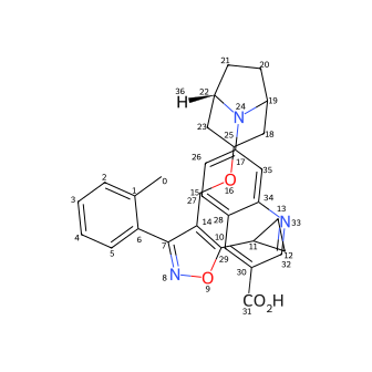 Cc1ccccc1-c1noc(C2CC2)c1COC1CC2CC[C@@H](C1)N2c1ccc2cc(C(=O)O)cnc2c1